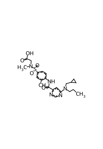 CCCN(CC1CC1)c1cc(C(=O)Nc2ccc(S(=O)(=O)N(C)CC(=O)O)cc2C)ncn1